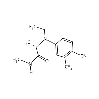 CCN(C)C(=O)[C@H](C)N(CC(F)(F)F)c1ccc(C#N)c(C(F)(F)F)c1